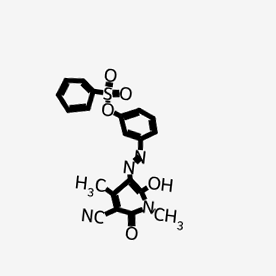 Cc1c(N=Nc2cccc(OS(=O)(=O)c3ccccc3)c2)c(O)n(C)c(=O)c1C#N